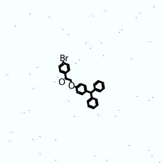 O=C(COc1ccc(C(c2ccccc2)c2ccccc2)cc1)c1ccc(Br)cc1